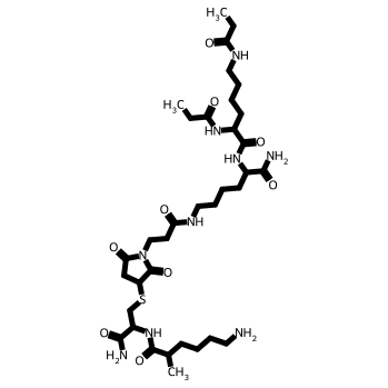 CCC(=O)NCCCCC(NC(=O)CC)C(=O)NC(CCCCNC(=O)CCN1C(=O)CC(SCC(NC(=O)C(C)CCCCN)C(N)=O)C1=O)C(N)=O